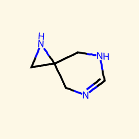 C1=NCC2(CN1)CN2